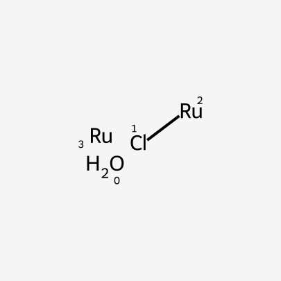 O.[Cl][Ru].[Ru]